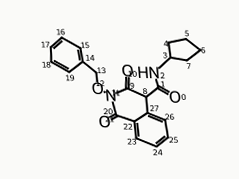 O=C(NC1CCCC1)C1C(=O)N(OCc2ccccc2)C(=O)c2ccccc21